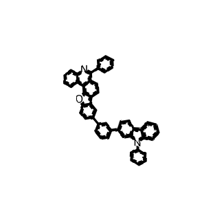 c1ccc(-c2nc3ccccc3c3c2ccc2c4cc(-c5cccc(-c6ccc7c8ccccc8n(-c8ccccc8)c7c6)c5)ccc4oc23)cc1